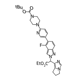 CCOC(=O)C(c1ncn2c1CCC2)n1cc2c(F)c(-c3ccc(N4CCN(C(=O)OC(C)(C)C)CC4)nc3)ccc2n1